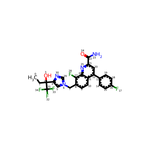 CCC(O)(c1cn(Cc2ccc3c(-c4ccc(F)cc4)cc(C(N)=O)nc3c2F)cn1)C(F)(F)F